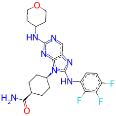 NC(=O)[C@H]1CC[C@@H](n2c(Nc3ccc(F)c(F)c3F)nc3cnc(NC4CCOCC4)nc32)CC1